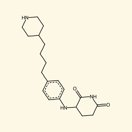 O=C1CCC(Nc2ccc(CCCCC3CCNCC3)cc2)C(=O)N1